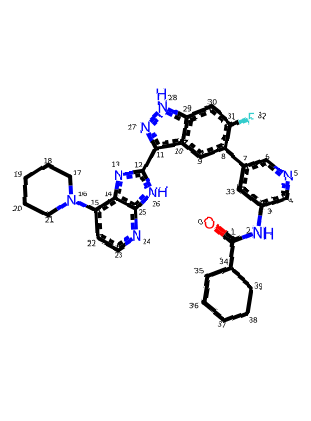 O=C(Nc1cncc(-c2cc3c(-c4nc5c(N6CCCCC6)ccnc5[nH]4)n[nH]c3cc2F)c1)C1CCCCC1